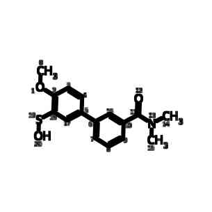 COc1ccc(-c2cccc(C(=O)N(C)C)c2)cc1SO